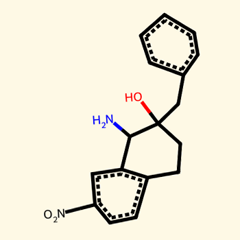 NC1c2cc([N+](=O)[O-])ccc2CCC1(O)Cc1ccccc1